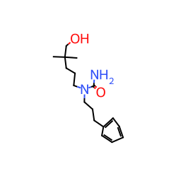 CC(C)(CO)CCCN(CCCc1ccccc1)C(N)=O